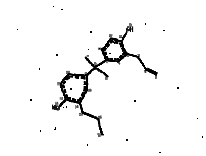 C=CCc1cc(C(C)(C)c2ccc(O)c(CCC)c2)ccc1O